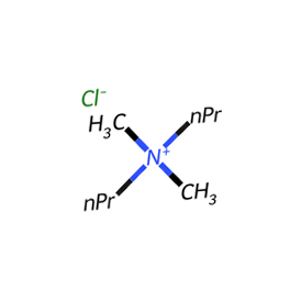 CCC[N+](C)(C)CCC.[Cl-]